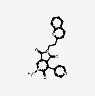 Cn1cc2c(c(-c3ccncc3)c1=O)C(=O)N(CCc1ccc3ccccc3n1)C2=O